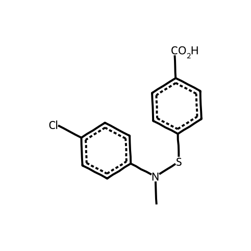 CN(Sc1ccc(C(=O)O)cc1)c1ccc(Cl)cc1